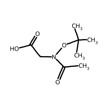 CC(=O)N(CC(=O)O)OC(C)(C)C